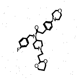 O=C(Cc1ccc(N2CCOCC2)cc1)N(Cc1ccc(F)cc1)C1CCN(CCC2OCCCO2)CC1